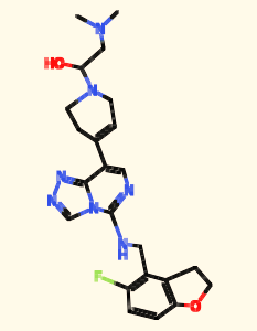 CN(C)CC(O)N1CC=C(c2cnc(NCc3c(F)ccc4c3CCO4)n3cnnc23)CC1